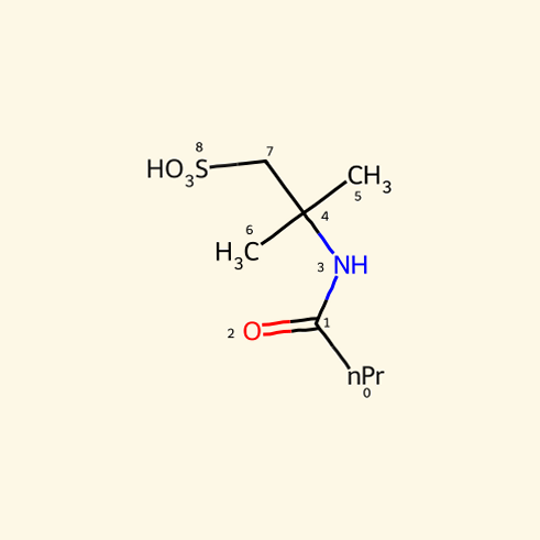 CCCC(=O)NC(C)(C)CS(=O)(=O)O